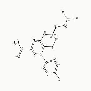 Cc1ccc(-c2cc(C(N)=O)nc3c2CC[C@H](COC(F)F)O3)cc1